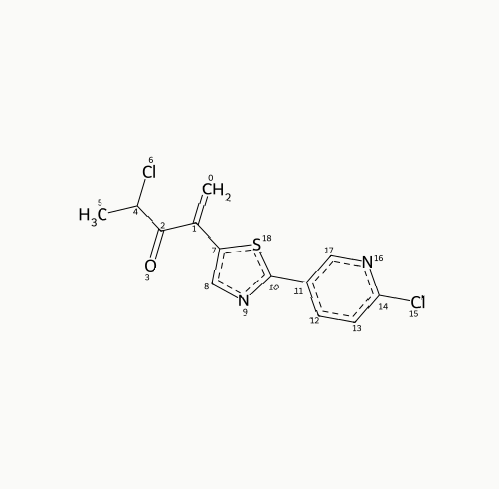 C=C(C(=O)C(C)Cl)c1cnc(-c2ccc(Cl)nc2)s1